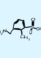 Cc1c(CN)cccc1S(=O)(=O)O